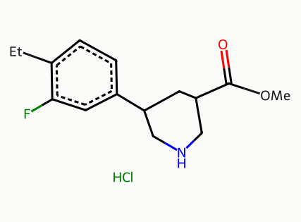 CCc1ccc(C2CNCC(C(=O)OC)C2)cc1F.Cl